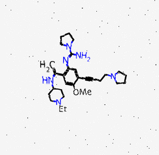 C=C(NC1CCN(CC)CC1)c1cc(OC)c(C#CCCN2CCCC2)cc1/N=C(\N)N1CCCC1